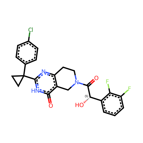 O=C([C@@H](O)c1cccc(F)c1F)N1CCc2nc(C3(c4ccc(Cl)cc4)CC3)[nH]c(=O)c2C1